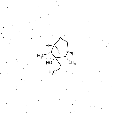 CC[C@@]1(O)[C@H](C)[C@@H]2CC[C@@H](O2)[C@@H]1C